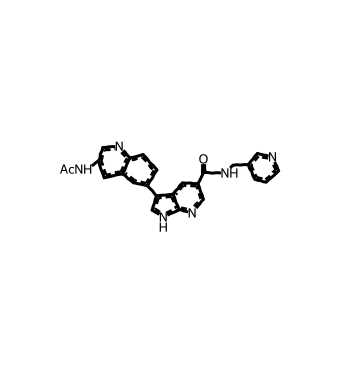 CC(=O)Nc1cnc2ccc(-c3c[nH]c4ncc(C(=O)NCc5cccnc5)cc34)cc2c1